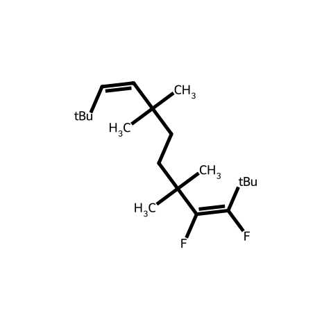 CC(C)(C)/C=C\C(C)(C)CCC(C)(C)/C(F)=C(/F)C(C)(C)C